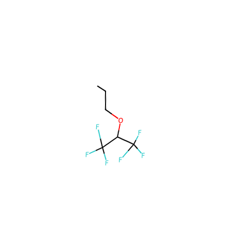 CCCOC(C(F)(F)F)C(F)(F)F